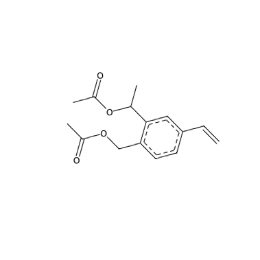 C=Cc1ccc(COC(C)=O)c(C(C)OC(C)=O)c1